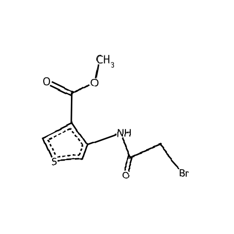 COC(=O)c1cscc1NC(=O)CBr